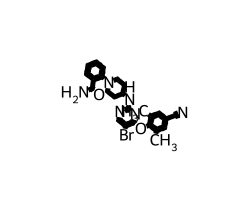 Cc1cc(C#N)cc(C)c1Oc1nc(NC2CCN(c3ccccc3C(N)=O)CC2)ncc1Br